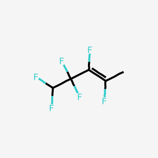 CC(F)=C(F)C(F)(F)C(F)F